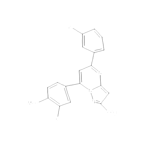 COc1ccc(-c2cc(-c3cccc(Cl)c3)nc3cc(C(=O)O)nn23)cc1Cl